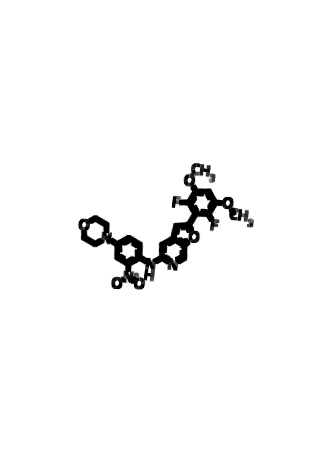 COc1cc(OC)c(F)c(-c2cc3cc(Nc4ccc(N5CCOCC5)cc4[N+](=O)[O-])ncc3o2)c1F